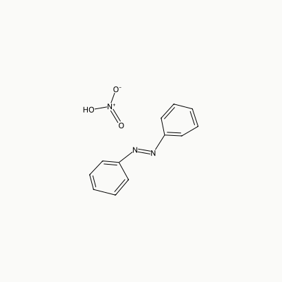 O=[N+]([O-])O.c1ccc(N=Nc2ccccc2)cc1